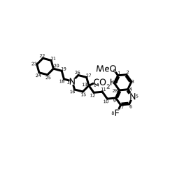 COc1ccc2ncc(F)c(CCCC3(C(=O)O)CCN(CCC4CCCCC4)CC3)c2c1